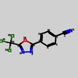 N#Cc1ccc(-c2nnc(C(Cl)(Cl)Cl)o2)cc1